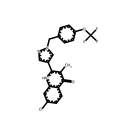 Cc1c(-c2cnn(Cc3ccc(OC(F)(F)F)cc3)c2)[nH]c2cc(Cl)ccc2c1=O